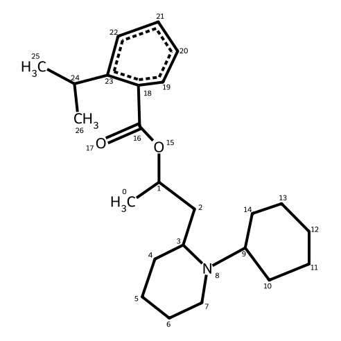 CC(CC1CCCCN1C1CCCCC1)OC(=O)c1ccccc1C(C)C